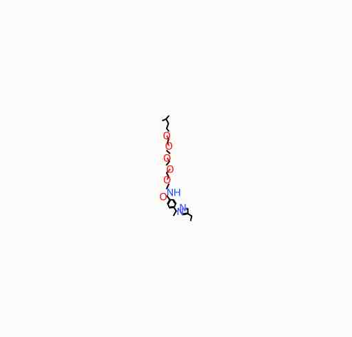 CCc1cnn(C(C)c2ccc(C(=O)NCCOCCOCCOCCOCCOCCCC(C)C)cc2)c1